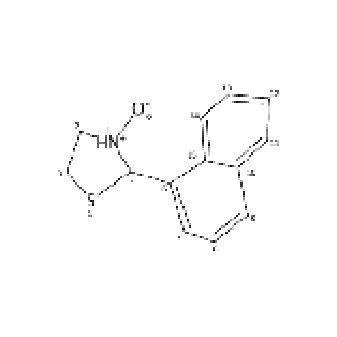 [O-][NH+]1CCSC1c1cccc2ccccc12